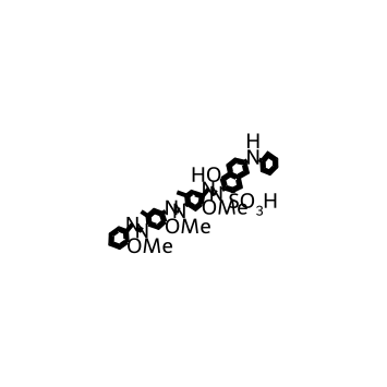 COc1ccccc1N=Nc1cc(OC)c(N=Nc2cc(OC)c(N=Nc3c(S(=O)(=O)O)cc4cc(Nc5ccccc5)ccc4c3O)cc2C)cc1C